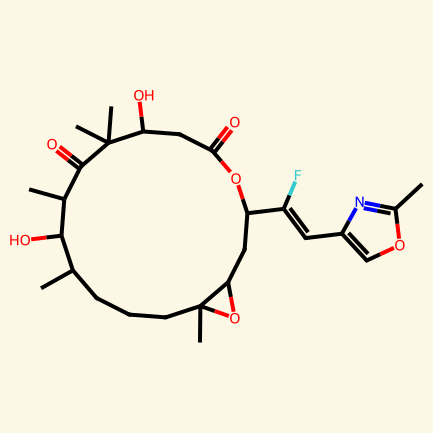 Cc1nc(C=C(F)C2CC3OC3(C)CCCC(C)C(O)C(C)C(=O)C(C)(C)C(O)CC(=O)O2)co1